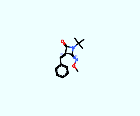 CO/N=C1\C(=C/c2ccccc2)C(=O)N1C(C)(C)C